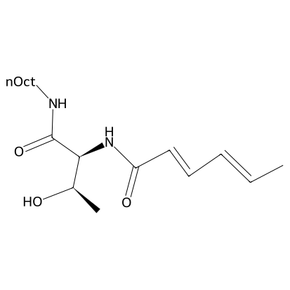 CC=CC=CC(=O)N[C@H](C(=O)NCCCCCCCC)[C@@H](C)O